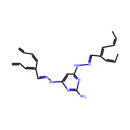 C=C\C=C/C(/C=N/Nc1cc(N/N=C/C(/C=C\C)=C/C=C\C)nc(N)n1)=C\C=C